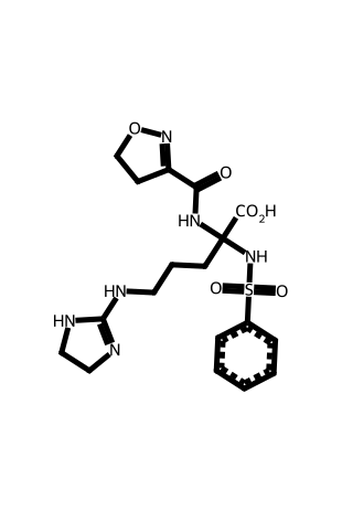 O=C(NC(CCCNC1=NCCN1)(NS(=O)(=O)c1ccccc1)C(=O)O)C1=NOCC1